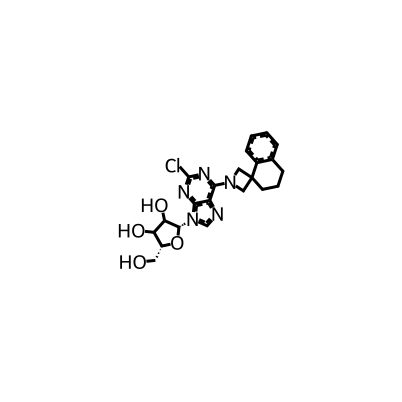 OC[C@H]1O[C@@H](n2cnc3c(N4CC5(CCCc6ccccc65)C4)nc(Cl)nc32)C(O)C1O